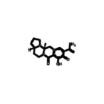 C=C(N)c1cn2c(c(O)c1=O)C(=O)N1CC[C@@H]3CCCN3[C@]1(C)C2